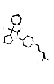 CC(C)=CCCN1CCC(NC(=O)C(O)(c2ccccc2)C2CCCC2)CC1